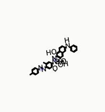 COc1cc(/N=N/c2ccc(C)cc2)c(C)cc1/N=N/c1c(S(=O)(=O)O)cc2cc(Nc3ccccc3)ccc2c1O